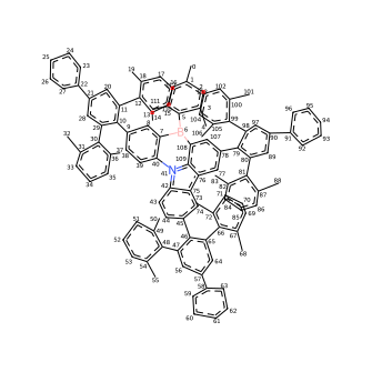 Cc1cc(C)c(B2c3cc(-c4c(-c5c(C)cccc5C)cc(-c5ccccc5)cc4-c4c(C)cccc4C)ccc3-n3c4ccc(-c5c(-c6c(C)cccc6C)cc(-c6ccccc6)cc5-c5c(C)cccc5C)cc4c4cc(-c5c(-c6c(C)cccc6C)cc(-c6ccccc6)cc5-c5c(C)cccc5C)cc2c43)c(C)c1